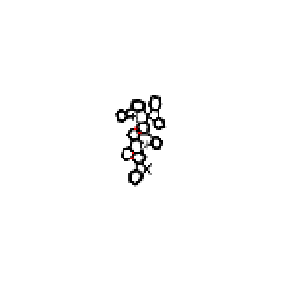 CC1(C)c2ccccc2-c2ccc(N(c3ccccc3-c3ccccc3)c3ccccc3-c3ccc4c(c3)C3(c5ccccc5-c5ccccc53)c3cccc5c6ccccc6n-4c35)cc21